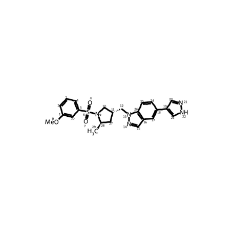 COc1cccc(S(=O)(=O)N2C[C@H](Cn3ncc4cc(-c5cn[nH]c5)ccc43)C[C@H]2C)c1